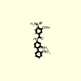 COc1cc(C(=O)Nc2ccc(-c3ccccc3OC(F)(F)F)c(N)c2)ccc1[S+](N)[O-]